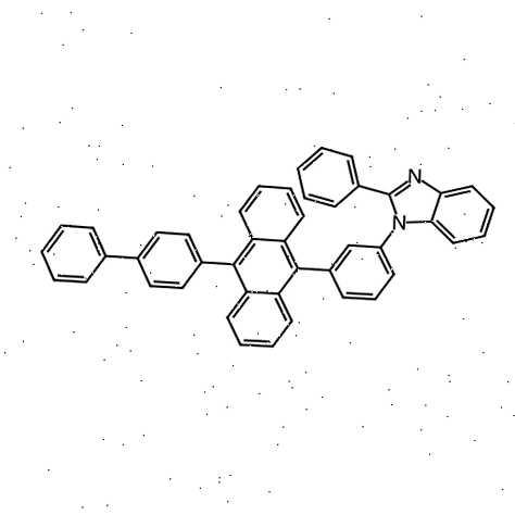 c1ccc(-c2ccc(-c3c4ccccc4c(-c4cccc(-n5c(-c6ccccc6)nc6ccccc65)c4)c4ccccc34)cc2)cc1